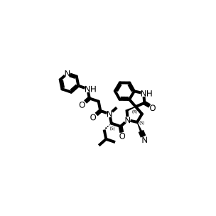 CC(C)C[C@@H](C(=O)N1C[C@]2(C[C@H]1C#N)C(=O)Nc1ccccc12)N(C)C(=O)CC(=O)Nc1cccnc1